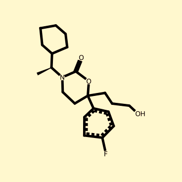 C[C@@H](C1CCCCC1)N1CCC(CCCO)(c2ccc(F)cc2)OC1=O